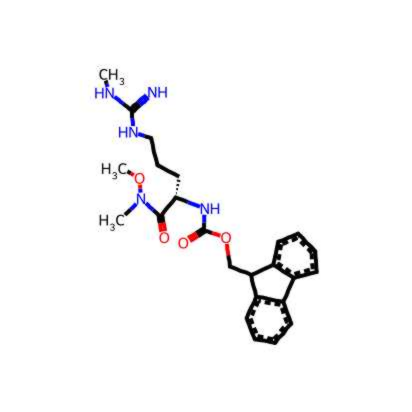 CNC(=N)NCCC[C@H](NC(=O)OCC1c2ccccc2-c2ccccc21)C(=O)N(C)OC